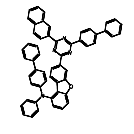 c1ccc(-c2ccc(-c3nc(-c4ccc5ccccc5c4)nc(-c4ccc5c(c4)oc4cccc(N(c6ccccc6)c6ccc(-c7ccccc7)cc6)c45)n3)cc2)cc1